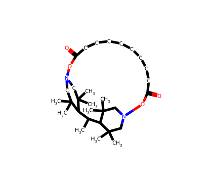 CC1C2C(C)(C)CN(CC2(C)C)OC(=O)CCCCCCCCC(=O)ON2CC(C)(C)C1C(C)(C)C2